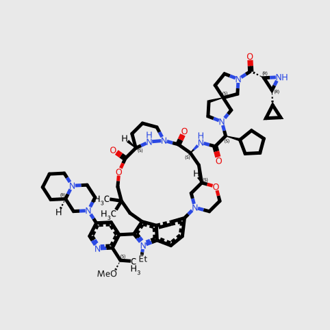 CCn1c(-c2cc(N3CCN4CCCC[C@@H]4C3)cnc2[C@H](C)OC)c2c3cc(ccc31)N1CCO[C@@H](C[C@H](NC(=O)[C@H](C3CCCC3)N3CC[C@]4(CCN(C(=O)[C@@H]5N[C@@H]5C5CC5)C4)C3)C(=O)N3CCC[C@H](N3)C(=O)OCC(C)(C)C2)C1